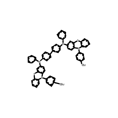 CC(C)(C)c1ccc(N2c3ccccc3Sc3cc(N(c4ccccc4)c4ccc(-c5ccc(N(c6ccccc6)c6ccc7c(c6)Sc6ccccc6N7c6ccc(C(C)(C)C)cc6)cc5)cc4)ccc32)cc1